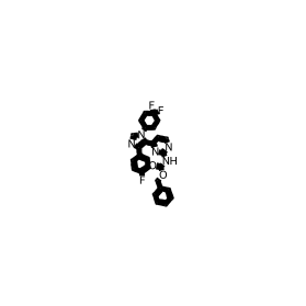 O=C(Nc1nccc(-c2c(-c3ccc(F)cc3)ncn2C2CCC(F)(F)CC2)n1)OCc1ccccc1